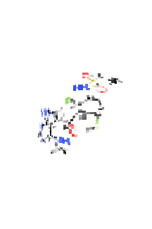 CC(C)CS(=O)(=O)Nc1ccc(F)c(C(=O)c2c[nH]c3ncnc(NC(C)C)c23)c1F